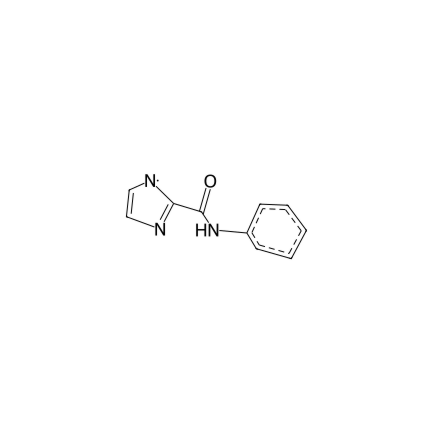 O=C(Nc1ccccc1)C1=NC=C[N]1